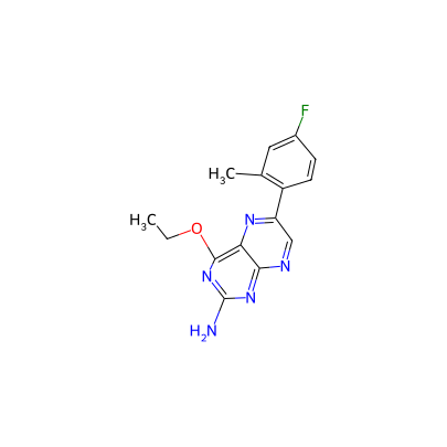 CCOc1nc(N)nc2ncc(-c3ccc(F)cc3C)nc12